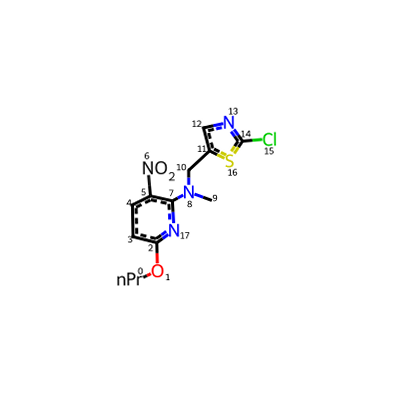 CCCOc1ccc([N+](=O)[O-])c(N(C)Cc2cnc(Cl)s2)n1